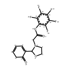 O=C(CN1CCOC1C1=CC=CCC1=O)Oc1c(F)c(F)c(F)c(F)c1F